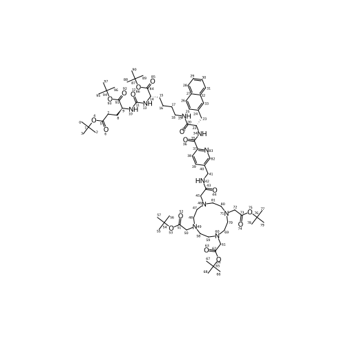 CC(C)(C)OC(=O)CC[C@H](NC(=O)N[C@@H](CCCCNC(=O)[C@H](Cc1ccc2ccccc2c1)NC(=O)c1ccc(CNC(=O)CN2CCN(CC(=O)OC(C)(C)C)CCN(CC(=O)OC(C)(C)C)CCN(CC(=O)OC(C)(C)C)CC2)cn1)C(=O)OC(C)(C)C)C(=O)OC(C)(C)C